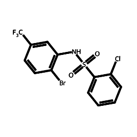 O=S(=O)(Nc1cc(C(F)(F)F)ccc1Br)c1ccccc1Cl